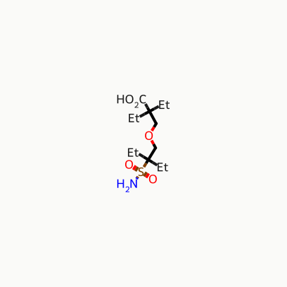 CCC(CC)(COCC(CC)(CC)S(N)(=O)=O)C(=O)O